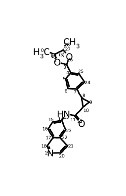 C[C@@H]1OC(c2ccc(C3CC3C(=O)Nc3ccc4cnccc4c3)cc2)O[C@H]1C